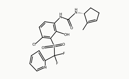 CC1=CCC[C@H]1NC(=O)Nc1ccc(Cl)c(S(=O)(=O)C(F)(F)c2ccccn2)c1O